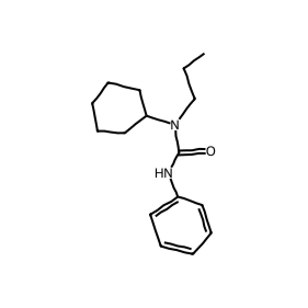 CCCN(C(=O)Nc1ccccc1)C1CCCCC1